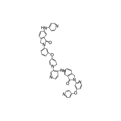 O=C1c2cc(Nc3ccncc3)ccc2CN1c1cccc(Oc2cc[n+](-c3cnccc3Nc3ccc4c(c3)C(=O)N(c3cc(Oc5ccncc5)ccn3)C4)cc2)c1